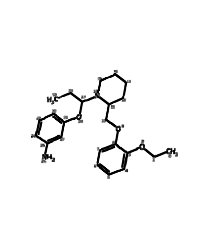 CCOc1ccccc1OCC1CCCCN1C(CC)Oc1cccc(N)c1